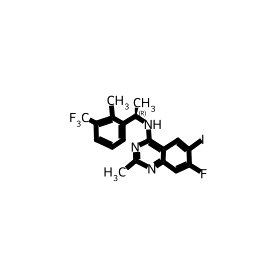 Cc1nc(N[C@H](C)c2cccc(C(F)(F)F)c2C)c2cc(I)c(F)cc2n1